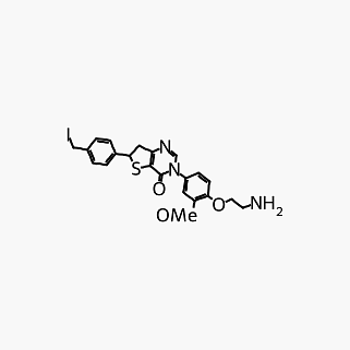 COc1cc(-n2cnc3c(c2=O)SC(c2ccc(CI)cc2)C3)ccc1OCCN